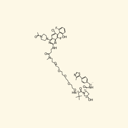 CC(=O)N1CCN(c2nc(NCCC(=O)N(C)CCOCCOCCOCCOCCON[C@H](C(=O)N3C[C@H](O)C[C@H]3C(=O)N[C@@H](C)c3ccc(-c4scnc4C)cc3)C(C)(C)C)nc3c(F)c(-c4c(O)cccc4F)c(Cl)cc23)CC1